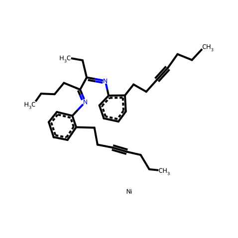 CCCC#CCCc1ccccc1N=C(CC)C(CCCC)=Nc1ccccc1CCC#CCCC.[Ni]